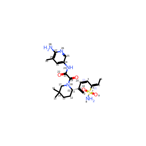 C=C(/C=C\C(=C/C)S(N)(=O)=O)[C@@H]1CCC(C)(C)CN1C(=O)C(=O)Nc1cnc(N)c(C)c1